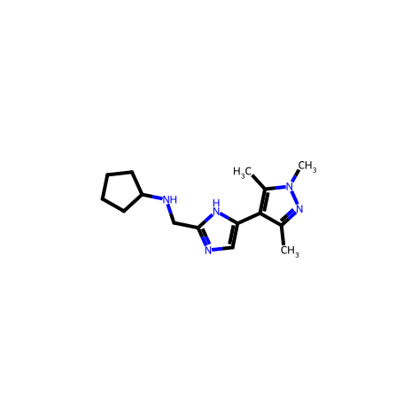 Cc1nn(C)c(C)c1-c1cnc(CNC2CCCC2)[nH]1